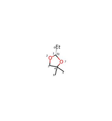 CC[C@H]1OCC(C)(C)O1